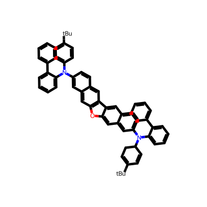 CC(C)(C)C1=CCC(N(c2ccc3cc4c(cc3c2)oc2cc3cc(N(c5ccc(C(C)(C)C)cc5)c5ccccc5-c5ccccc5)ccc3cc24)c2ccccc2-c2ccccc2)C=C1